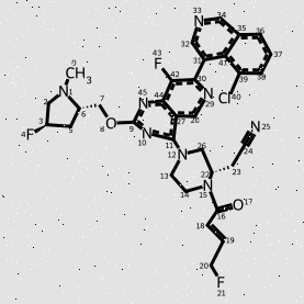 CN1C[C@H](F)C[C@H]1COc1nc(N2CCN(C(=O)C=CCF)[C@@H](CC#N)C2)c2cnc(-c3cncc4cccc(Cl)c34)c(F)c2n1